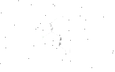 C/C=C/C(Cl)=[C]\Cl